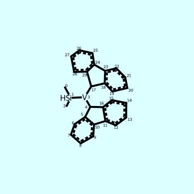 C[SiH](C)[V]([CH]1c2ccccc2-c2ccccc21)[CH]1c2ccccc2-c2ccccc21